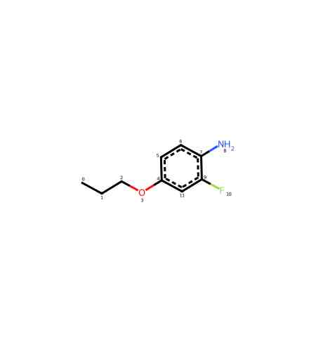 CCCOc1ccc(N)c(F)c1